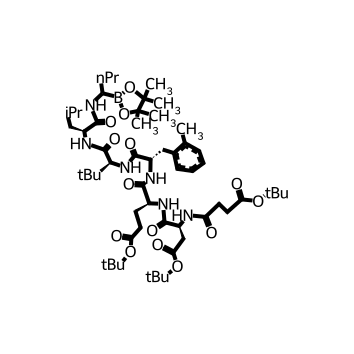 CCCC(NC(=O)[C@H](CC(C)C)NC(=O)[C@@H](NC(=O)[C@H](Cc1ccccc1C)NC(=O)[C@H](CCC(=O)OC(C)(C)C)NC(=O)[C@H](CC(=O)OC(C)(C)C)NC(=O)CCC(=O)OC(C)(C)C)C(C)(C)C)B1OC(C)(C)C(C)(C)O1